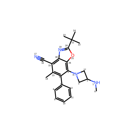 CNC1CN(c2c(-c3ccccc3)c(C)c(C#N)c3nc(C(C)(C)C)oc23)C1